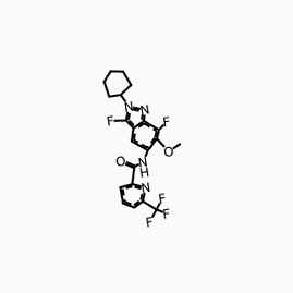 COc1c(NC(=O)c2cccc(C(F)(F)F)n2)cc2c(F)n(C3CCCCC3)nc2c1F